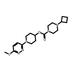 COc1ccc(N2CCC(OC(=O)N3CCN(C4CCC4)CC3)CC2)nn1